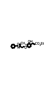 CCOC(=O)C=Cc1ccc(OCCc2nc(-c3ccccc3)oc2C)cc1O